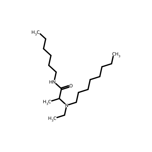 CCCCCCCCN(CC)C(C)C(=O)NCCCCCC